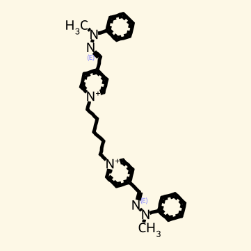 CN(/N=C/c1cc[n+](CCCCC[n+]2ccc(/C=N/N(C)c3ccccc3)cc2)cc1)c1ccccc1